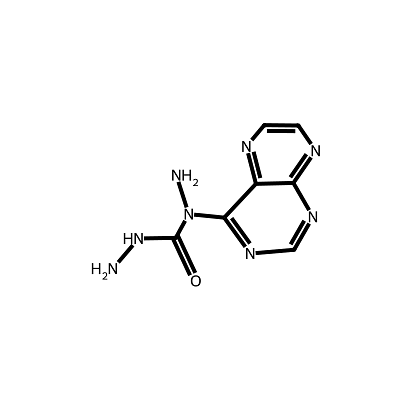 NNC(=O)N(N)c1ncnc2nccnc12